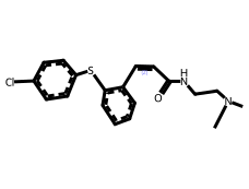 CN(C)CCNC(=O)/C=C\c1ccccc1Sc1ccc(Cl)cc1